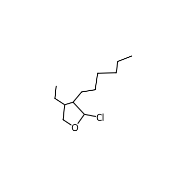 CCCCCCC1C(CC)COC1Cl